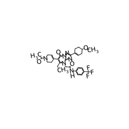 CCc1c(C2=CCN(C(C)=O)CC2)c(=O)n2nc(C3=CCC(OC)CC3)nc2n1CC(=O)Nc1ccc(C(F)(F)F)cc1